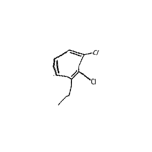 CCc1[c]ccc(Cl)c1Cl